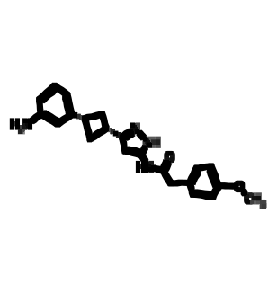 COc1ccc(CC(=O)Nc2cc([C@H]3C[C@@H](c4cccc(N)c4)C3)n[nH]2)cc1